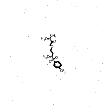 CN(C)C(=O)COCCN(C)S(=O)(=O)c1ccc(C(F)(F)F)cc1